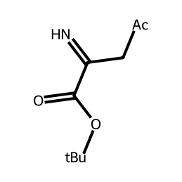 CC(=O)CC(=N)C(=O)OC(C)(C)C